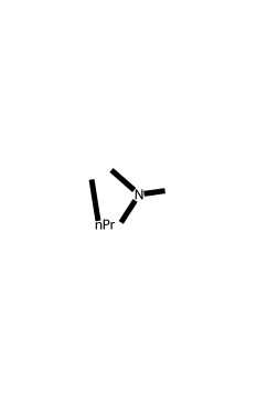 CCCC.CN(C)C